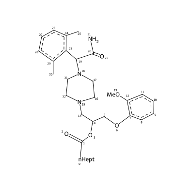 CCCCCCCC(=O)OC(COc1ccccc1OC)CN1CCN(C(C(N)=O)c2c(C)cccc2C)CC1